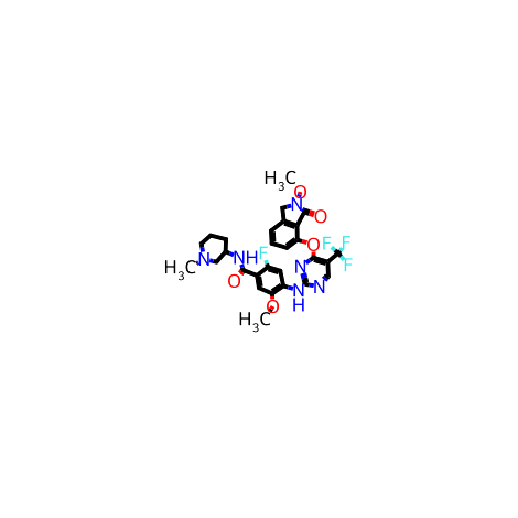 COc1cc(C(=O)NC2CCCN(C)C2)c(F)cc1Nc1ncc(C(F)(F)F)c(Oc2cccc3c2C(=O)N(OC)C3)n1